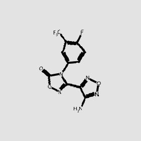 Nc1nonc1-c1noc(=O)n1-c1ccc(F)c(C(F)(F)F)c1